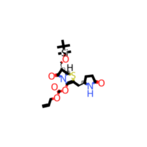 C=CCOC(=O)OC1=C(C[C@H]2CCC(=O)N2)S[C@@H]2[C@@H](CO[Si](C)(C)C(C)(C)C)C(=O)N12